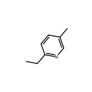 [CH2]Cc1ccc(C)cn1